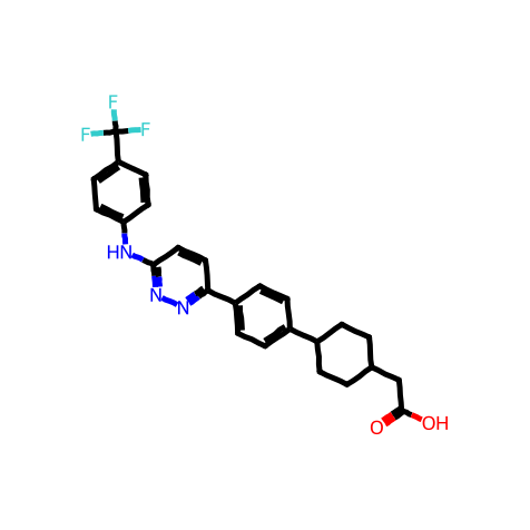 O=C(O)CC1CCC(c2ccc(-c3ccc(Nc4ccc(C(F)(F)F)cc4)nn3)cc2)CC1